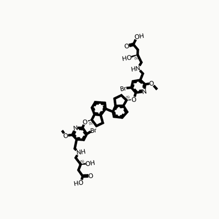 COc1nc(O[C@H]2CCc3c(-c4cccc5c4CC[C@@H]5Oc4nc(OC)c(CNC[C@@H](O)CC(=O)O)cc4Br)cccc32)c(Br)cc1CNC[C@@H](O)CC(=O)O